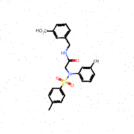 Cc1ccc(S(=O)(=O)N(CC(=O)NCc2cccc(C(=O)O)c2)c2cccc(C#N)c2)cc1